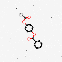 CCC(=O)Oc1ccc(OC(=O)c2ccccc2)cc1